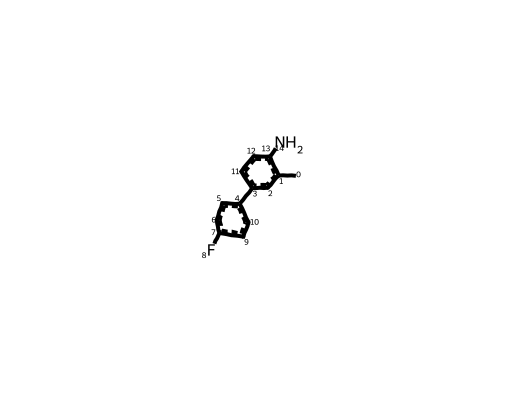 Cc1cc(-c2ccc(F)cc2)ccc1N